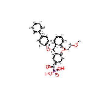 COCCOc1ccc(C(=O)P(=O)(O)O)cc1C(Oc1ccc(-c2ccccc2)cc1)c1ccccc1